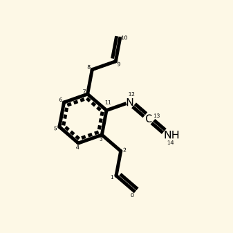 C=CCc1cccc(CC=C)c1N=C=N